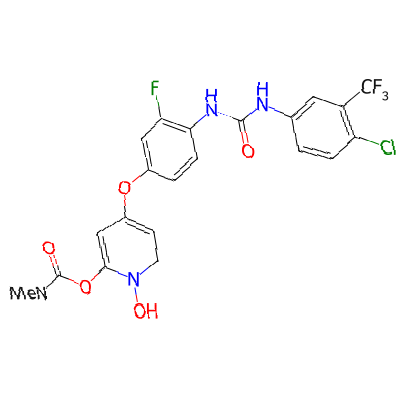 CNC(=O)OC1=CC(Oc2ccc(NC(=O)Nc3ccc(Cl)c(C(F)(F)F)c3)c(F)c2)=CCN1O